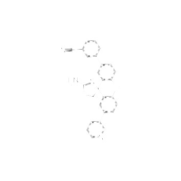 N#Cc1cccc(-c2ccc3c(c2)[C@]2(COC(N)=N2)c2cc(-c4cccnc4)ccc2O3)c1